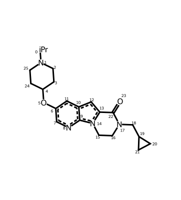 CC(C)N1CCC(Oc2cnc3c(c2)cc2n3CCN(CC3CC3)C2=O)CC1